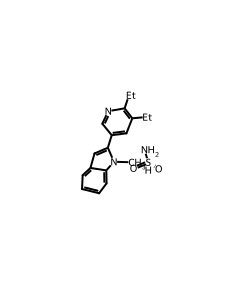 CCc1cc(-c2cc3ccccc3n2C)cnc1CC.N[SH](=O)=O